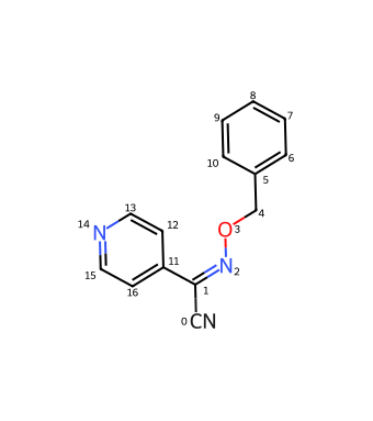 N#CC(=NOCc1ccccc1)c1ccncc1